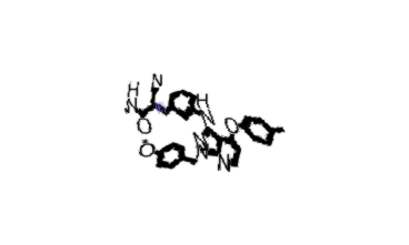 CNC(=O)/C(C#N)=C/c1cccc(Nc2nn(Cc3ccc(OC)cc3)c3nccc(Oc4ccc(C)cc4)c23)c1